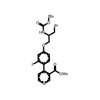 COC(=O)c1cnccc1-c1ccc(OCC(CC(C)C)NC(=O)OC(C)(C)C)cc1F